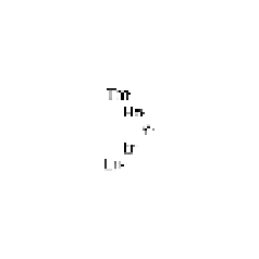 [Er].[Ho].[Lu].[Tm].[Y]